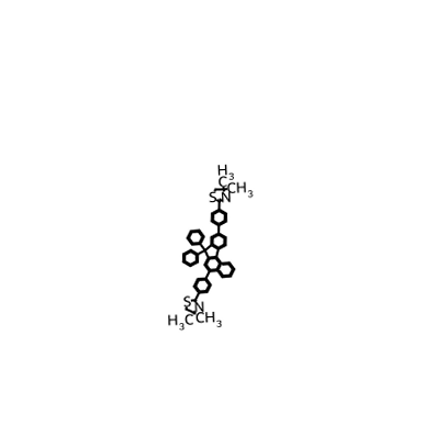 CC1(C)CSC(c2ccc(-c3ccc4c(c3)C(c3ccccc3)(c3ccccc3)c3cc(-c5ccc(C6=NC(C)(C)CS6)cc5)c5ccccc5c3-4)cc2)=N1